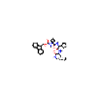 CN(C)C(=O)[C@H](CC(=O)O)N(C)C(=O)[C@H](C1CCCC1)N(C)C(=O)C1(N(C)C(=O)OCC2c3ccccc3-c3ccccc32)CCC1